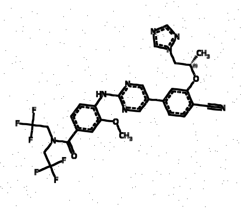 COc1cc(C(=O)N(CC(F)(F)F)CC(F)(F)F)ccc1Nc1ncc(-c2ccc(C#N)c(O[C@@H](C)Cn3cncn3)c2)cn1